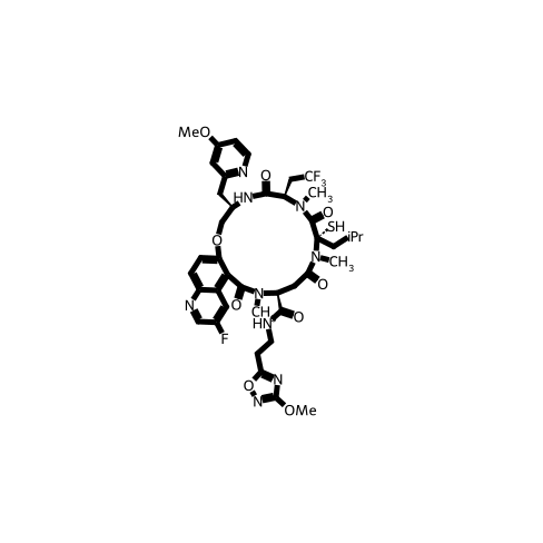 COc1ccnc(C[C@@H]2COc3ccc4ncc(F)cc4c3C(=O)N(C)[C@H](C(=O)NCCc3nc(OC)no3)CC(=O)N(C)[C@](S)(CC(C)C)C(=O)N(C)[C@H](CC(F)(F)F)C(=O)N2)c1